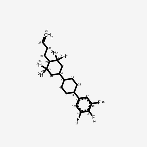 [2H]C1([2H])CC(C2CCC(c3cc(F)c(F)c(F)c3)CC2)CC([2H])([2H])C1CCC=C